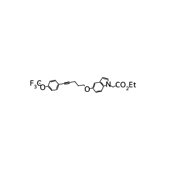 CCOC(=O)Cn1ccc2cc(OCCCC#Cc3ccc(OC(F)(F)F)cc3)ccc21